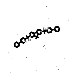 CCC(C)(c1ccc2c(c1)C(C)(C)c1cc(C(C)(CC)c3ccc(-c4ccccc4)cn3)ccc1-2)c1ccc(-c2ccccc2)cn1